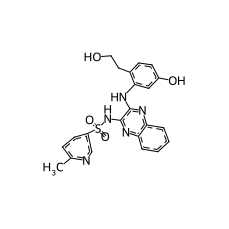 Cc1ccc(S(=O)(=O)Nc2nc3ccccc3nc2Nc2cc(O)ccc2CCO)cn1